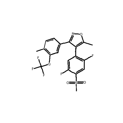 Cc1ccc(-c2noc(C)c2-c2cc(F)c(S(C)(=O)=O)cc2F)cc1OC(F)(F)F